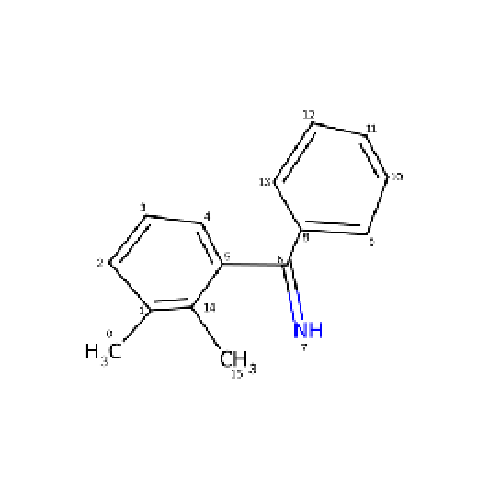 Cc1cccc(C(=N)c2ccccc2)c1C